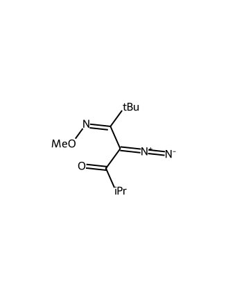 CO/N=C(\C(=[N+]=[N-])C(=O)C(C)C)C(C)(C)C